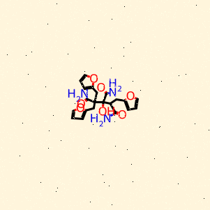 NC(=O)C(Cc1ccco1)C(O)(C(N)=O)C(Cc1ccco1)(Cc1ccco1)C(N)=O